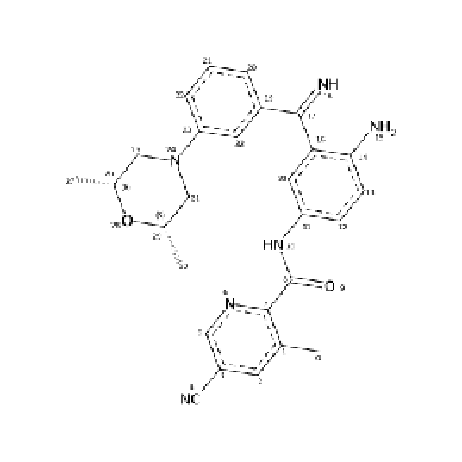 Cc1cc(C#N)cnc1C(=O)Nc1ccc(N)c(C(=N)c2cccc(N3C[C@@H](C)O[C@@H](C)C3)c2)c1